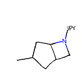 CC1CC2CN(C(C)C)C2C1